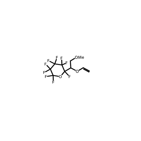 C=COC(COC)C1(F)OC(F)(F)C(F)(F)C(F)(F)C1(F)F